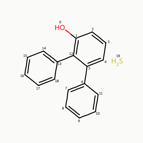 Oc1cccc(-c2ccccc2)c1-c1ccccc1.S